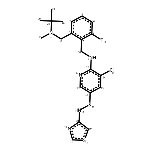 CN(Cc1cccc(F)c1CNc1ncc(SNc2cscn2)cc1Cl)C(C)(C)C